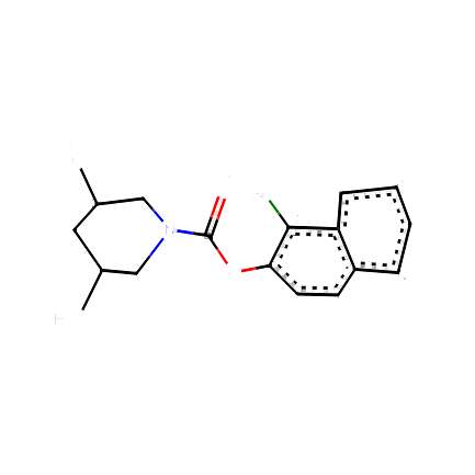 CC1CC(C)CN(C(=O)Oc2ccc3ccccc3c2Br)C1